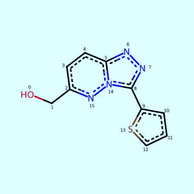 OCc1ccc2nnc(-c3cccs3)n2n1